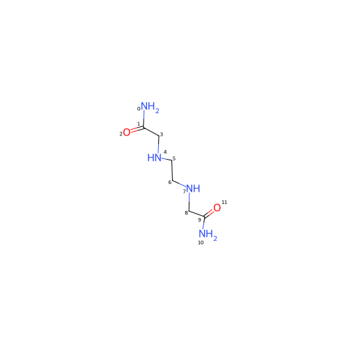 NC(=O)CNCCNCC(N)=O